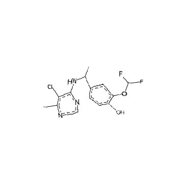 Cc1ncnc(NC(C)c2ccc(O)c(OC(F)F)c2)c1Cl